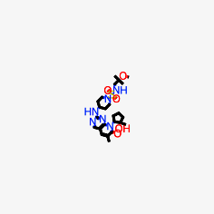 COC(C)(C)CNS(=O)(=O)N1CCC(Nc2ncc3cc(C)c(=O)n(C4CCCC4(C)O)c3n2)CC1